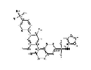 COc1cc(-c2ccc(C(F)(F)F)cc2)c(F)cc1-n1c(=O)ccc2cc(S(=O)(=O)Nc3ncco3)ccc21